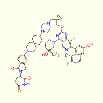 CCc1c(F)ccc2cc(O)cc(-c3ncc4c(N5CCC[C@@](C)(O)C5)nc(OCC5(CN6CCN(C7CCC8(CC7)CCN(c7ccc9c(c7)CN(C7CCC(=O)NC7=O)C9=O)CC8)CC6)CC5)nc4c3F)c12